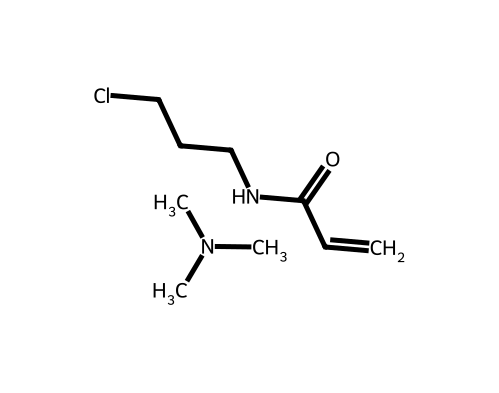 C=CC(=O)NCCCCl.CN(C)C